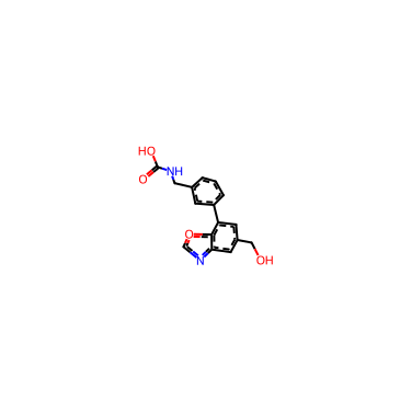 O=C(O)NCc1cccc(-c2cc(CO)cc3ncoc23)c1